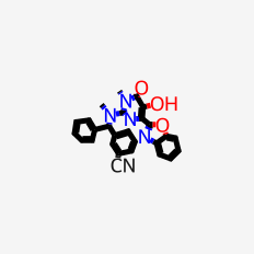 CN(c1nc(-c2nc3ccccc3o2)c(O)c(=O)n1C)C(c1ccccc1)c1cccc(C#N)c1